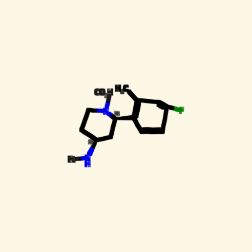 CCN[C@H]1CCN(C(=O)O)[C@@H](c2ccc(F)cc2C)C1